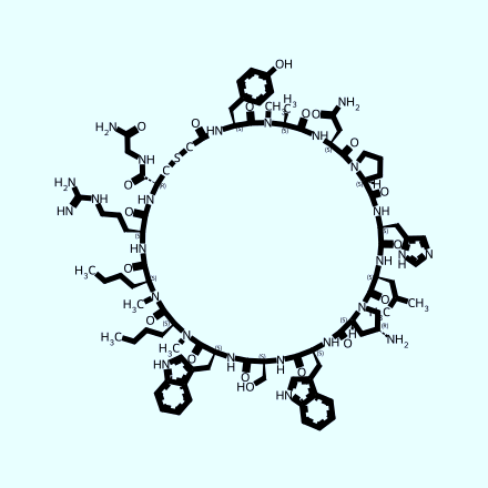 CCCC[C@H]1C(=O)N(C)[C@@H](CCCC)C(=O)N[C@@H](CCCNC(=N)N)C(=O)N[C@H](C(=O)NCC(N)=O)CSCC(=O)N[C@@H](Cc2ccc(O)cc2)C(=O)N(C)[C@@H](C)C(=O)N[C@@H](CC(N)=O)C(=O)N2CCC[C@H]2C(=O)N[C@@H](Cc2cnc[nH]2)C(=O)N[C@@H](CC(C)C)C(=O)N2C[C@H](N)C[C@H]2C(=O)N[C@@H](Cc2c[nH]c3ccccc23)C(=O)N[C@@H](CO)C(=O)N[C@@H](Cc2c[nH]c3ccccc23)C(=O)N1C